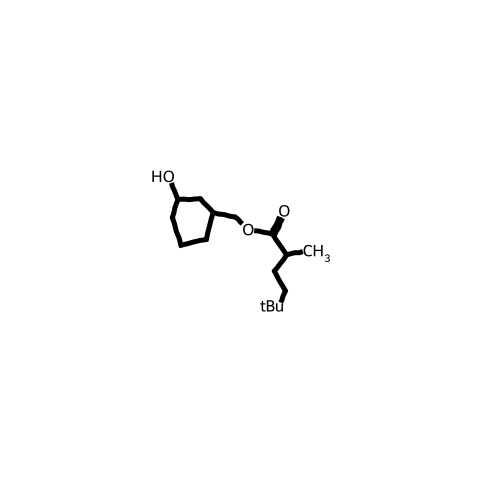 CC(CCC(C)(C)C)C(=O)OCC1CCCC(O)C1